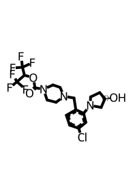 O=C(OC(C(F)(F)F)C(F)(F)F)N1CCN(Cc2ccc(Cl)cc2N2CC[C@H](O)C2)CC1